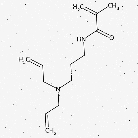 C=CCN(CC=C)CCCNC(=O)C(=C)C